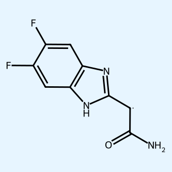 NC(=O)[CH]c1nc2cc(F)c(F)cc2[nH]1